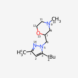 Cc1cc(C(C)(C)C)n(CC2CN(C)CCO2)n1